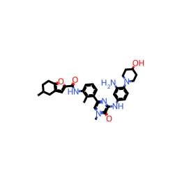 Cc1c(NC(=O)c2cc3c(o2)CCC(C)C3)cccc1-c1cn(C)c(=O)c(Nc2ccc(N3CCC(O)CC3)c(N)c2)n1